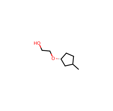 CC1CC[C@@H](OCCO)C1